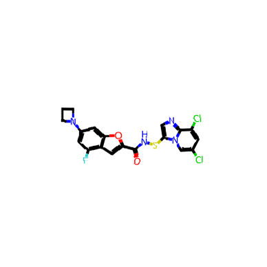 O=C(NSc1cnc2c(Cl)cc(Cl)cn12)c1cc2c(F)cc(N3CCC3)cc2o1